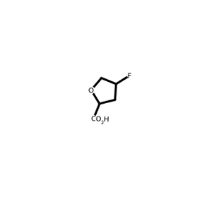 O=C(O)C1CC(F)CO1